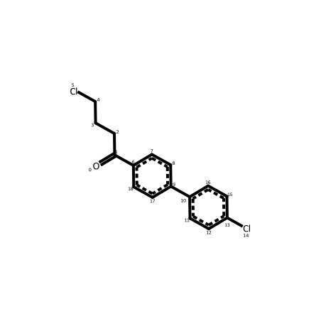 O=C(CCCCl)c1ccc(-c2ccc(Cl)cc2)cc1